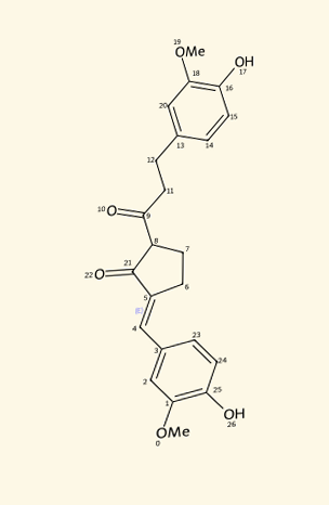 COc1cc(/C=C2\CCC(C(=O)CCc3ccc(O)c(OC)c3)C2=O)ccc1O